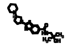 CC(C)(O)CNC(=O)c1ccc2nc(N3CC[C@@H](N4CCCCC4)C3)sc2c1